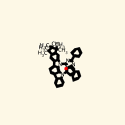 CC1(C)c2cc3c4ccc5c6ccccc6n(-c6ccccc6)c5c4n(-c4nc(-c5ccccc5)nc(-c5ccccc5)n4)c3cc2C(C)(C)C1(C)C